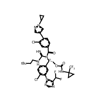 CC(C)(C)CCNC(=N)N(C(=O)c1ccc(-c2cnn(C3CC3)c2)c(Cl)c1)[C@H](COC(=O)NC1(C(F)(F)F)CC1)c1ccc(Cl)c(-n2ncnc2C(F)F)c1